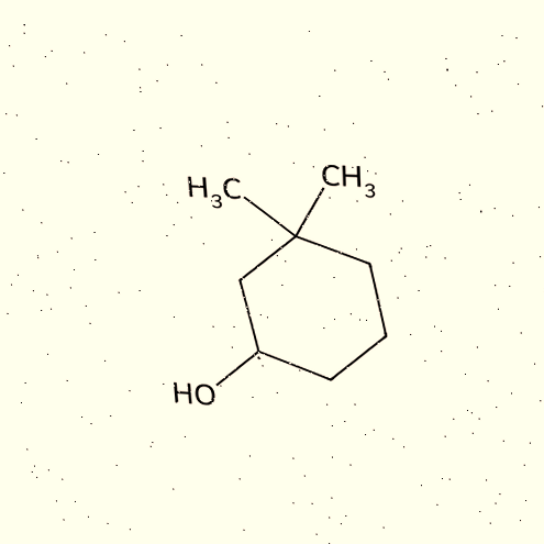 CC1(C)CCC[C](O)C1